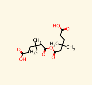 CC(C)(CCC(=O)O)CC(=O)OC(=O)CC(C)(C)CCC(=O)O